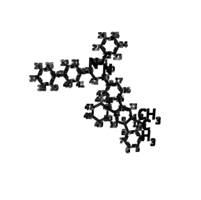 CC1(C)c2ccccc2C2C=C3C(=CC21)c1ccc(C2=NC(c4ccccc4)=NC(c4ccc(-c5ccccc5)cc4)C2)cc1C31CCCCC1